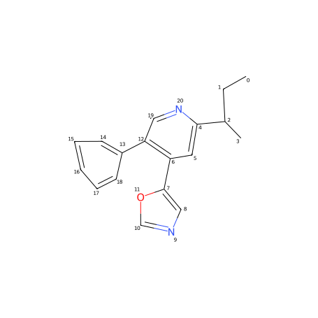 CCC(C)c1cc(-c2cnco2)c(-c2ccccc2)[c]n1